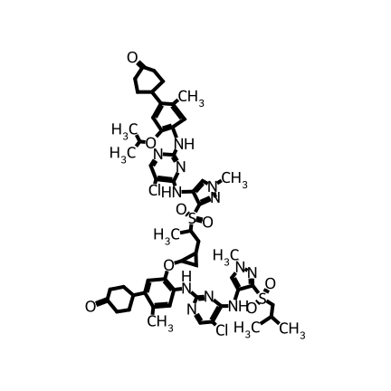 Cc1cc(Nc2ncc(Cl)c(Nc3cn(C)nc3S(=O)(=O)C(C)CC3CC3Oc3cc(C4CCC(=O)CC4)c(C)cc3Nc3ncc(Cl)c(Nc4cn(C)nc4S(=O)(=O)CC(C)C)n3)n2)c(OC(C)C)cc1C1CCC(=O)CC1